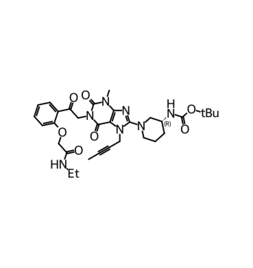 CC#CCn1c(N2CCC[C@@H](NC(=O)OC(C)(C)C)C2)nc2c1c(=O)n(CC(=O)c1ccccc1OCC(=O)NCC)c(=O)n2C